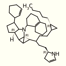 CCCCC[C@@H]1CC1CCC(CC[C@@H]1CC=CN1)C1C2C3[C@H]4CCC(C5C=CCCC5)C4N(C4CCCC5=C4CCCC5)[C@@]123